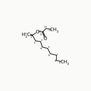 C=C(CCCCCCCC)OC(=O)CC